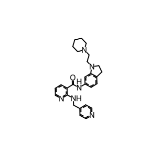 O=C(Nc1ccc2c(c1)N(CCN1CCCCC1)CC2)c1cccnc1NCc1ccncc1